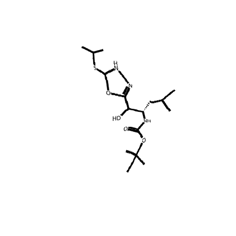 CC(C)C[C@H](NC(=O)OC(C)(C)C)C(O)C1=NNC(SC(C)C)O1